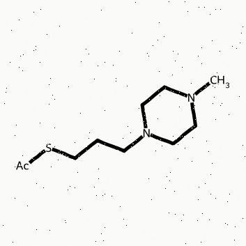 CC(=O)SCCCN1CCN(C)CC1